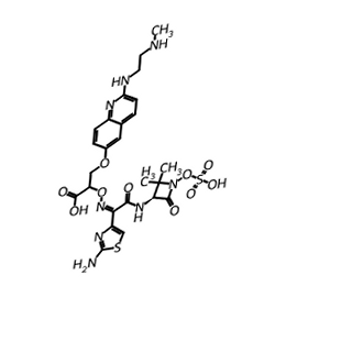 CNCCNc1ccc2cc(OCC(O/N=C(\C(=O)N[C@@H]3C(=O)N(OS(=O)(=O)O)C3(C)C)c3csc(N)n3)C(=O)O)ccc2n1